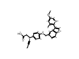 CC#C[C@@H](CC(=O)O)c1ccc(OCc2ccc3scc(-c4ncc(OC)cc4C)c3c2)cc1